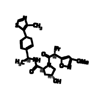 COc1cc([C@H](C(=O)N2C[C@H](O)C[C@H]2C(=O)N[C@@H](C)C2=CCC(c3scnc3C)C=C2)C(C)C)on1